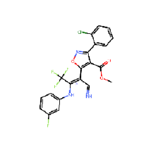 COC(=O)c1c(-c2ccccc2Cl)noc1/C(C=N)=C(/Nc1cccc(F)c1)C(F)(F)F